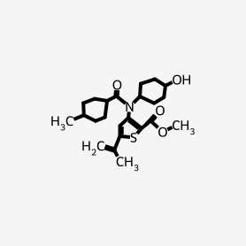 C=C(C)c1cc(N(C(=O)C2CCC(C)CC2)C2CCC(O)CC2)c(C(=O)OC)s1